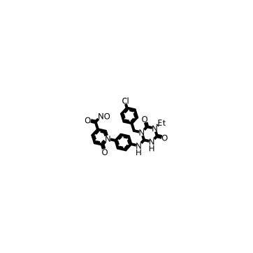 CCN1C(=O)NC(Nc2ccc(-n3cc(C(=O)N=O)ccc3=O)cc2)N(Cc2ccc(Cl)cc2)C1=O